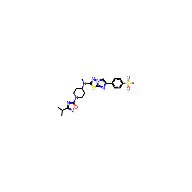 CC(C)c1noc(N2CCC(N(C)c3nn4cc(-c5ccc(S(C)(=O)=O)cc5)nc4s3)CC2)n1